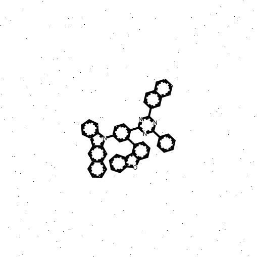 c1ccc(-c2nc(-c3ccc4ccccc4c3)nc(-c3ccc(-n4c5ccccc5c5cc6ccccc6cc54)cc3-c3cccc4oc5ccccc5c34)n2)cc1